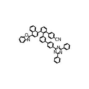 N#Cc1ccc(-c2cccc(-c3ccc(-c4nc5ccccc5o4)c4ccccc34)c2-c2cccc(-c3ccc(-c4nc(-c5ccccc5)nc(-c5ccccc5)n4)cc3)c2)cc1